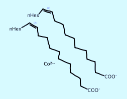 CCCCCC/C=C\CCCCCCCCCC(=O)[O-].CCCCCC/C=C\CCCCCCCCCC(=O)[O-].[Co+2]